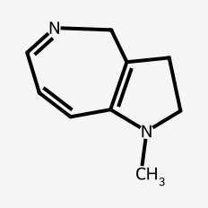 CN1CCC2=C1C=CC=NC2